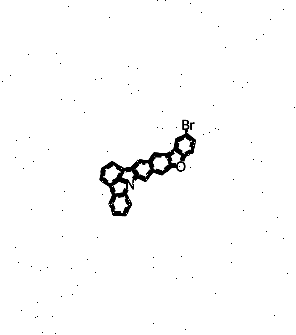 Brc1ccc2oc3cc4cc5c(cc4cc3c2c1)c1cccc2c3ccccc3n5c21